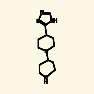 c1nnc(C2CCN(C3CCNCC3)CC2)[nH]1